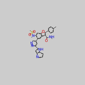 CNC(=O)c1c(-c2ccc(C)cc2)oc2cc(N(C)S(C)(=O)=O)c(-c3cnnc(-c4cc5ncccc5[nH]4)c3)cc12